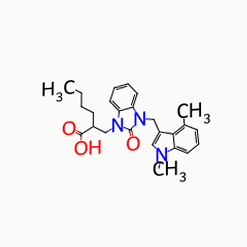 CCCCC(Cn1c(=O)n(Cc2cn(C)c3cccc(C)c23)c2ccccc21)C(=O)O